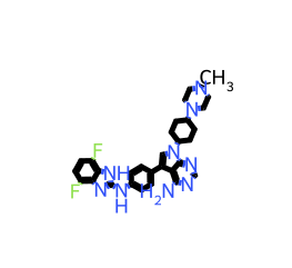 CN1CCN(C2CCC(n3cc(-c4ccc(Nc5nc6c(F)ccc(F)c6[nH]5)cc4)c4c(N)ncnc43)CC2)CC1